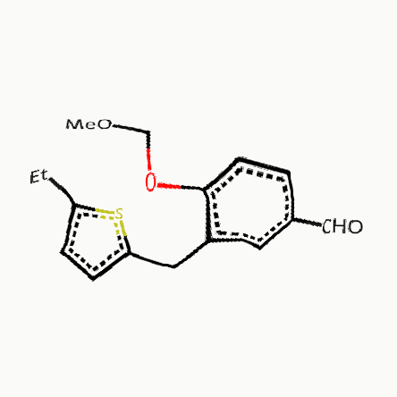 CCc1ccc(Cc2cc(C=O)ccc2OCOC)s1